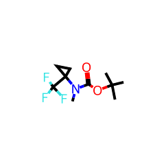 CN(C(=O)OC(C)(C)C)C1(C(F)(F)F)CC1